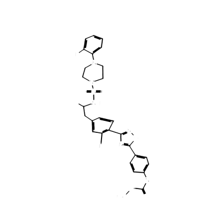 CC(C)(C)OC(=O)Nc1ccc(-c2nc(-c3ccc(CC(NS(=O)(=O)N4CCN(c5ccccc5F)CC4)C(=O)O)cc3F)no2)cc1